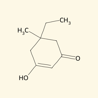 CCC1(C)CC(=O)C=C(O)C1